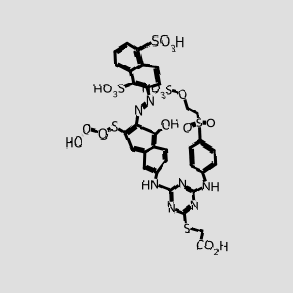 O=C(O)CSc1nc(Nc2ccc(S(=O)(=O)CCOS(=O)(=O)O)cc2)nc(Nc2ccc3c(O)c(N=Nc4ccc5c(S(=O)(=O)O)cccc5c4S(=O)(=O)O)c(SOOO)cc3c2)n1